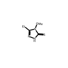 CCc1n[nH]c(=S)n1OC